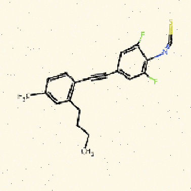 CCCCc1cc(C)ccc1C#Cc1cc(F)c(N=C=S)c(F)c1